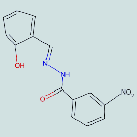 O=C(N/N=C/c1ccccc1O)c1cccc([N+](=O)[O-])c1